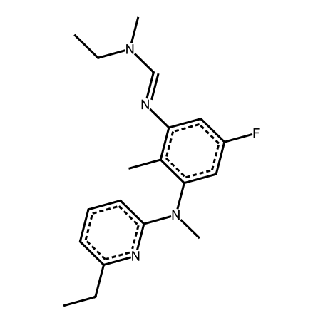 CCc1cccc(N(C)c2cc(F)cc(/N=C/N(C)CC)c2C)n1